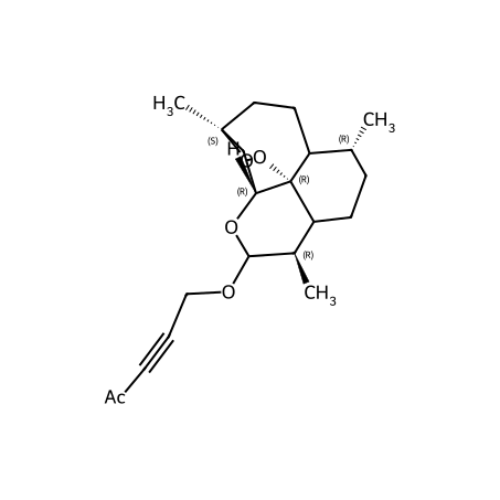 CC(=O)C#CCOC1O[C@@H]2C[C@]3(C)CCC4[C@H](C)CCC([C@H]1C)[C@]42OO3